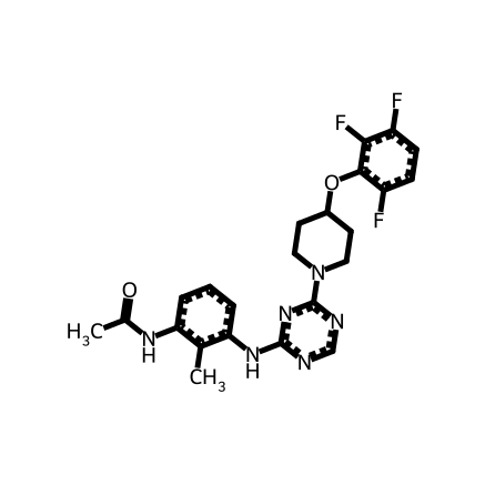 CC(=O)Nc1cccc(Nc2ncnc(N3CCC(Oc4c(F)ccc(F)c4F)CC3)n2)c1C